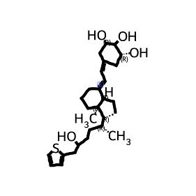 C[C@H](CCC(O)Cc1cccs1)[C@H]1CC[C@H]2/C(=C/C=C3C[C@@H](O)C(O)[C@H](O)C3)CCC[C@]12C